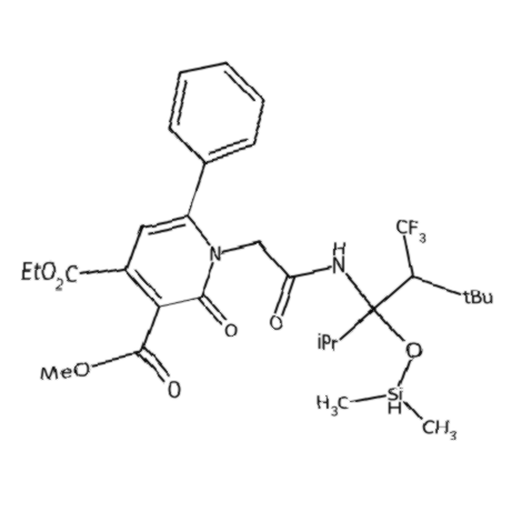 CCOC(=O)c1cc(-c2ccccc2)n(CC(=O)NC(O[SiH](C)C)(C(C)C)C(C(C)(C)C)C(F)(F)F)c(=O)c1C(=O)OC